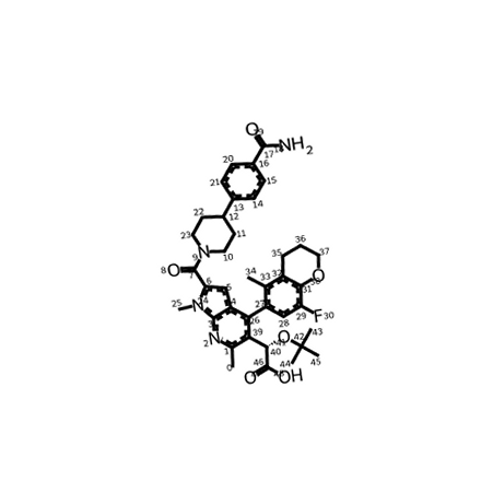 Cc1nc2c(cc(C(=O)N3CCC(c4ccc(C(N)=O)cc4)CC3)n2C)c(-c2cc(F)c3c(c2C)CCCO3)c1[C@H](OC(C)(C)C)C(=O)O